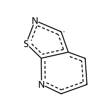 [c]1nsc2ncccc12